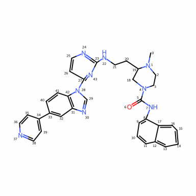 CN1CCN(C(=O)Nc2cccc3ccccc23)CC1CCNc1nccc(-n2cnc3cc(-c4ccncc4)ccc32)n1